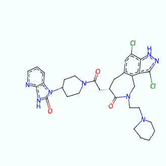 O=C(C[C@@H]1Cc2cc(Cl)c3[nH]nc(Cl)c3c2CN(CCN2CCCCC2)C1=O)N1CCC(n2c(=O)[nH]c3ncccc32)CC1